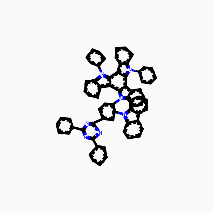 c1ccc(-c2nc(-c3ccccc3)nc(-c3ccc(-n4c5ccccc5c5c6c(c7ccccc7n6-c6ccccc6)c6c(c7ccccc7n6-c6ccccc6)c54)c(-n4c5ccccc5c5ccccc54)c3)n2)cc1